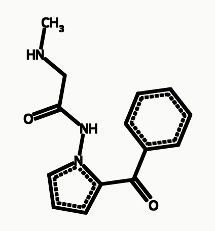 CNCC(=O)Nn1cccc1C(=O)c1ccccc1